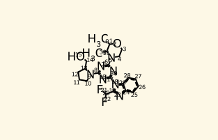 CC1OCCN(c2nc(N3CCCC3CO)nc(-n3c(C(F)F)nc4ccccc43)n2)C1C